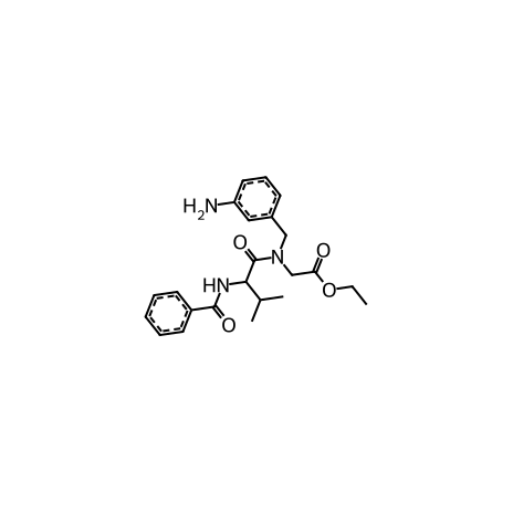 CCOC(=O)CN(Cc1cccc(N)c1)C(=O)C(NC(=O)c1ccccc1)C(C)C